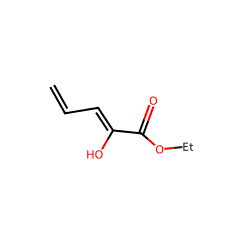 C=CC=C(O)C(=O)OCC